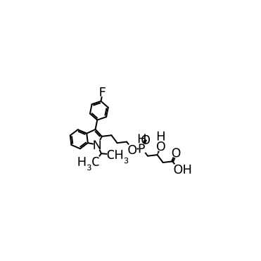 CC(C)n1c(CCCO[PH](=O)C[C@@H](O)CC(=O)O)c(-c2ccc(F)cc2)c2ccccc21